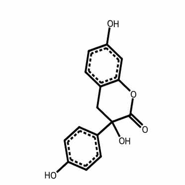 O=C1Oc2cc(O)ccc2CC1(O)c1ccc(O)cc1